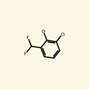 [O]c1c(Cl)cccc1C(F)F